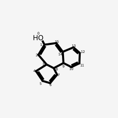 OC1=CC2C=CC=CC2C2C=CC=CC2=[C]1